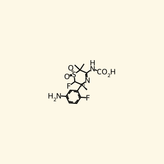 CC1(C)C(NC(=O)O)=N[C@](C)(c2cc(N)ccc2F)C(F)S1(=O)=O